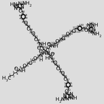 CCCCCC(=O)NCCOCCOCCOCCNC(=O)NC(CCC(=O)NCCOCCOCCOCCOCc1ccc(COc2nc(N)nc3[nH]cnc23)cc1)(CCC(=O)NCCOCCOCCOCCOCc1ccc(COc2nc(N)nc3[nH]cnc23)cc1)CCC(=O)NCCOCCOCCOCCOCc1ccc(COc2nc(N)nc3[nH]cnc23)cc1